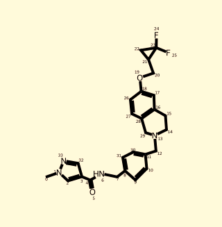 Cn1cc(C(=O)NCc2ccc(CN3CCc4cc(OCC5CC5(F)F)ccc4C3)cc2)cn1